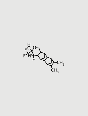 CC1C(C)C2CC1C1C3CC(C21)C1C3COC(O)(C(F)(F)F)C1(F)F